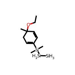 CCOC1(C)C=CC([Si](C)(C)[SiH2][SiH3])=CC1